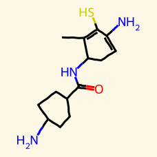 CC1=C(S)C(N)=CCC1NC(=O)C1CCC(N)CC1